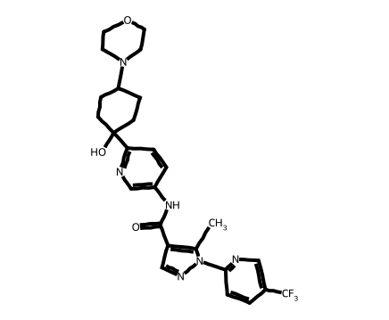 Cc1c(C(=O)Nc2ccc(C3(O)CCC(N4CCOCC4)CC3)nc2)cnn1-c1ccc(C(F)(F)F)cn1